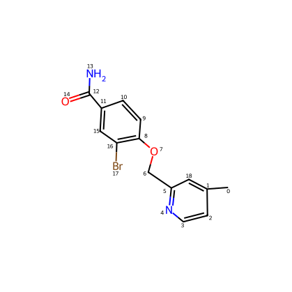 Cc1ccnc(COc2ccc(C(N)=O)cc2Br)c1